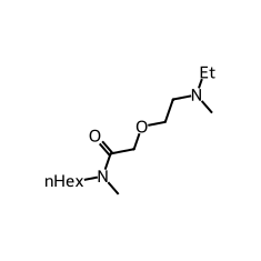 CCCCCCN(C)C(=O)COCCN(C)CC